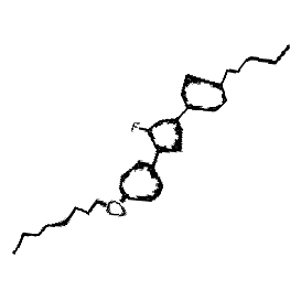 CCCCCCCCOc1ccc(-c2ccc(-c3ccc(CCCCC)cc3)cc2F)cc1